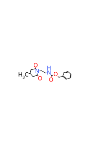 CC1CC(=O)N(CCNC(=O)OCc2ccccc2)C(=O)C1